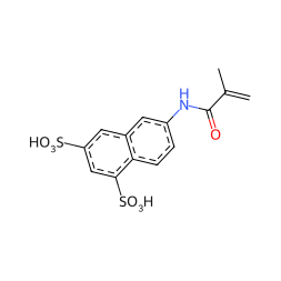 C=C(C)C(=O)Nc1ccc2c(S(=O)(=O)O)cc(S(=O)(=O)O)cc2c1